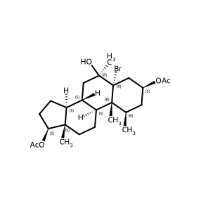 CC(=O)O[C@H]1C[C@@H](C)[C@]2(C)[C@H]3CC[C@]4(C)[C@@H](OC(C)=O)CC[C@H]4[C@@H]3C[C@@](C)(O)[C@@]2(Br)C1